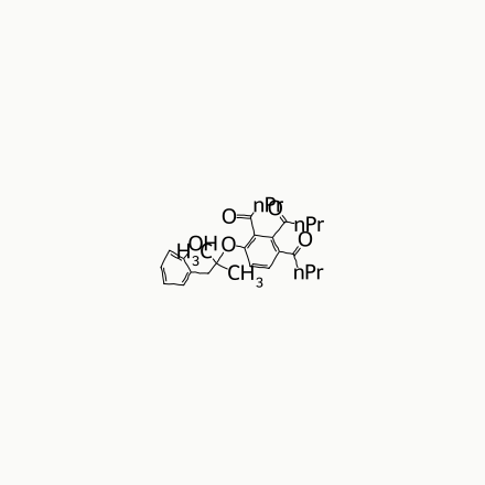 CCCC(=O)c1ccc(OC(C)(C)Cc2ccccc2O)c(C(=O)CCC)c1C(=O)CCC